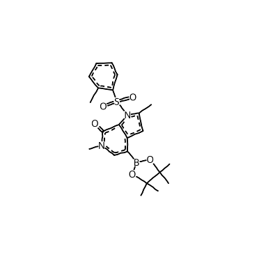 Cc1ccccc1S(=O)(=O)n1c(C)cc2c(B3OC(C)(C)C(C)(C)O3)cn(C)c(=O)c21